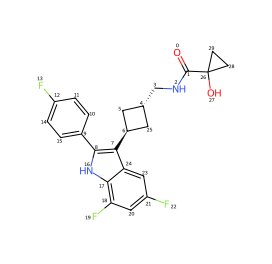 O=C(NC[C@H]1C[C@H](c2c(-c3ccc(F)cc3)[nH]c3c(F)cc(F)cc32)C1)C1(O)CC1